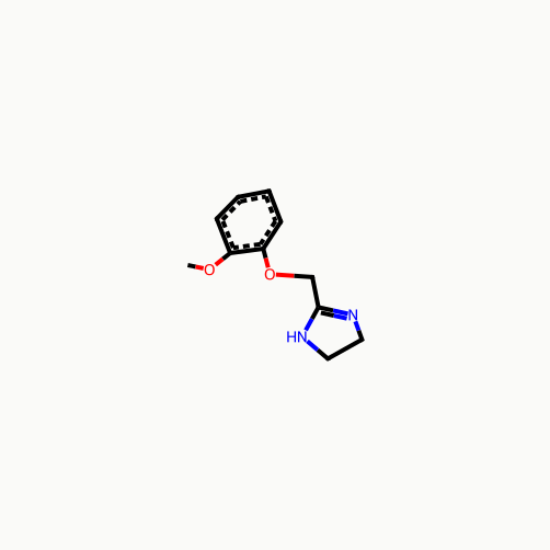 COc1ccccc1OCC1=NCCN1